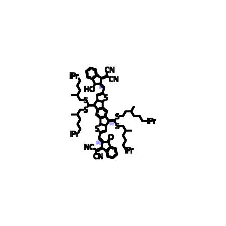 CC(C)CCCC(C)CCS/C(SCC(C)CCCC(C)C)=C1\c2cc3c(cc2C2SC(/C=C4\C(=O)c5ccccc5C4=C(C#N)C#N)=CC12)C(=C(SCC(C)CCCC(C)C)SCC(C)CCCC(C)C)C1C=C(/C=C2/C(=C(C#N)C#N)c4ccccc4C2O)SC31